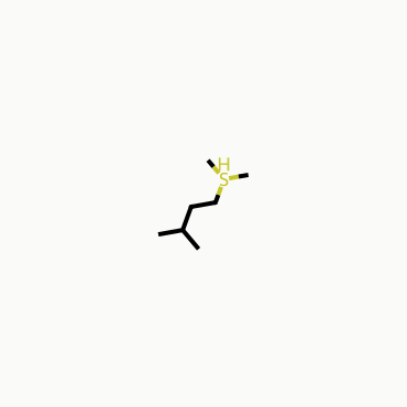 CC(C)CC[SH](C)C